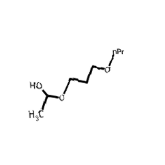 CCCOCCCOC(C)O